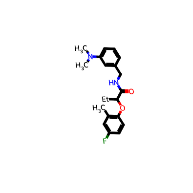 CCC(Oc1ccc(F)cc1C)C(=O)NCc1cccc(N(C)C)c1